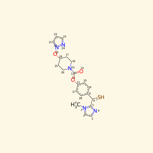 Cn1ccnc1C(S)c1ccc(OC(=O)N2CCC(On3cccn3)CC2)cc1